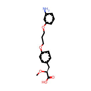 CO[C@@H](Cc1ccc(OCCCOc2cccc(N)c2)cc1)C(=O)O